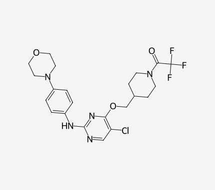 O=C(N1CCC(COc2nc(Nc3ccc(N4CCOCC4)cc3)ncc2Cl)CC1)C(F)(F)F